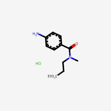 CCOC(=O)CCN(C)C(=O)c1ccc(N)cc1.Cl